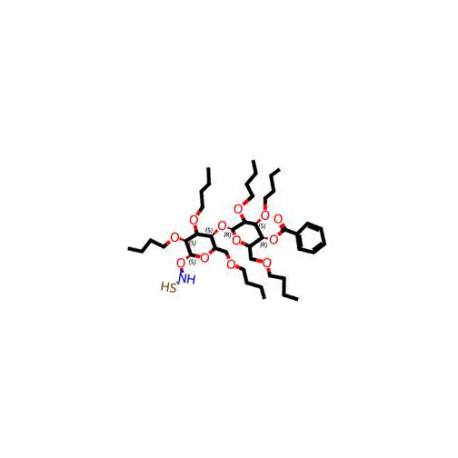 CCCCOCC1O[C@@H](ONS)[C@@H](OCCCC)C(OCCCC)[C@H]1O[C@H]1OC(COCCCC)[C@@H](OC(=O)c2ccccc2)[C@H](OCCCC)C1OCCCC